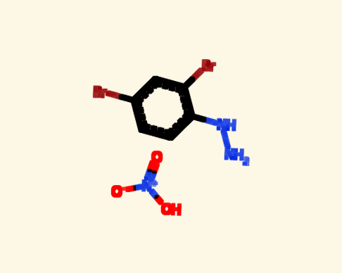 NNc1ccc(Br)cc1Br.O=[N+]([O-])O